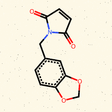 O=C1C=CC(=O)N1Cc1ccc2c(c1)OCO2